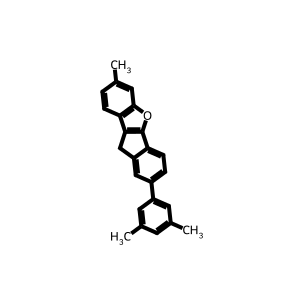 Cc1cc(C)cc(-c2ccc3c(c2)Cc2c-3oc3cc(C)ccc23)c1